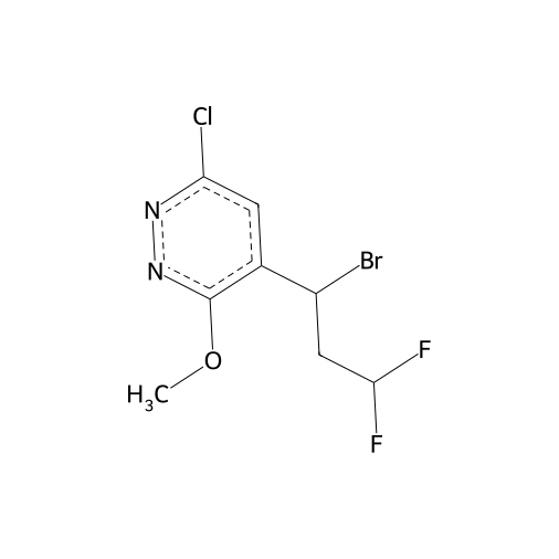 COc1nnc(Cl)cc1C(Br)CC(F)F